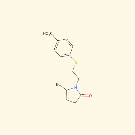 CCC1CCC(=O)N1CCSc1ccc(C(=O)O)cc1